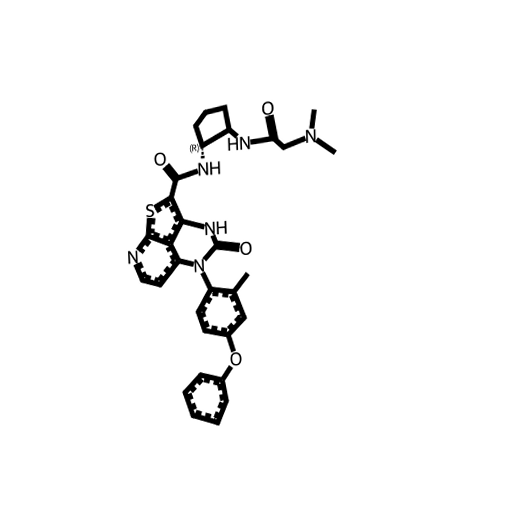 Cc1cc(Oc2ccccc2)ccc1N1C(=O)Nc2c(C(=O)N[C@@H]3CCCC3NC(=O)CN(C)C)sc3nccc1c23